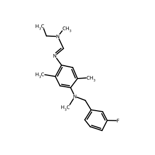 CCN(C)C=Nc1cc(C)c(N(C)Cc2cccc(F)c2)cc1C